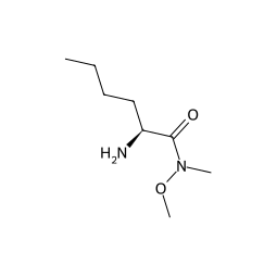 CCCC[C@H](N)C(=O)N(C)OC